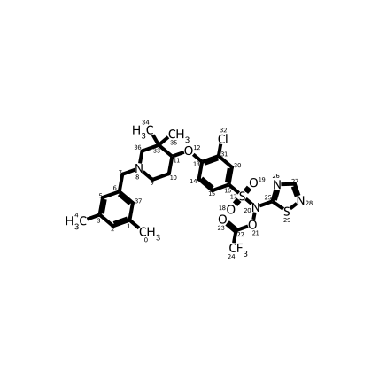 Cc1cc(C)cc(CN2CCC(Oc3ccc(S(=O)(=O)N(OC(=O)C(F)(F)F)c4ncns4)cc3Cl)C(C)(C)C2)c1